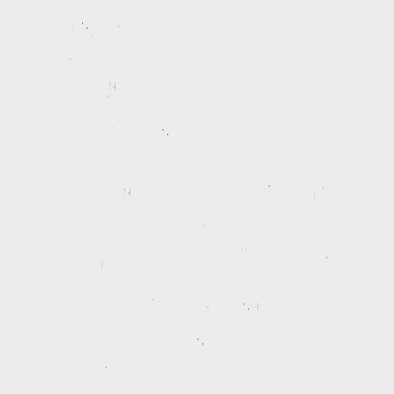 O=C(Nc1cc(F)cc(F)c1)Nc1ccc(F)c(Oc2ccc3ncc(N4CCNCC4)nc3c2)c1